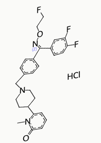 Cl.Cn1c(C2CCN(Cc3ccc(/C(=N/OCCF)c4ccc(F)c(F)c4)cc3)CC2)cccc1=O